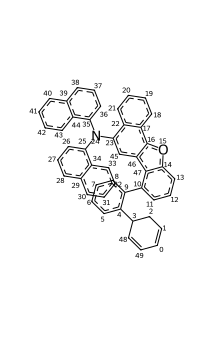 C1=CCC(c2ccccc2-c2cccc3oc4c5ccccc5c(N(c5cccc6ccccc56)c5cccc6ccccc56)cc4c23)C=C1